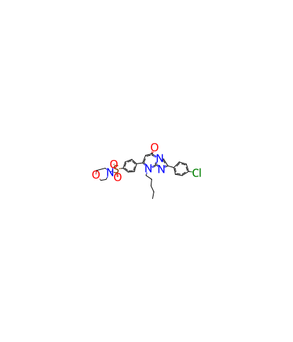 CCCCCn1c(-c2ccc(S(=O)(=O)N3CCOCC3)cc2)cc(=O)n2cc(-c3ccc(Cl)cc3)nc12